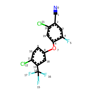 N#Cc1cc(F)c(Oc2ccc(Cl)c(C(F)(F)F)c2)cc1Cl